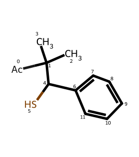 CC(=O)C(C)(C)C(S)c1ccccc1